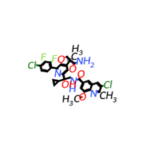 COc1cc(C(=O)NCC(O)(c2cc3c(c(-c4ccc(Cl)c(F)c4F)n2)OC[C@]3(C)C(N)=O)C2CC2)cc2cc(Cl)c(C)nc12